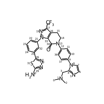 CN(C)Cc1nccn1-c1ccc(N2CCc3c(C(F)(F)F)nn(-c4cccc(-c5nnc(N)s5)c4)c3C2=O)cc1